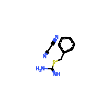 N#CC#N.N=C(N)SCc1ccccc1